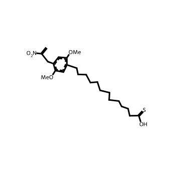 C=C(Cc1cc(OC)c(CCCCCCCCCCCCC(O)=S)cc1OC)[N+](=O)[O-]